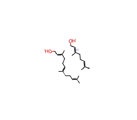 CC(C)=CCC/C(C)=C/CO.CC(C)=CCCC(C)=CCCC(C)=CCO